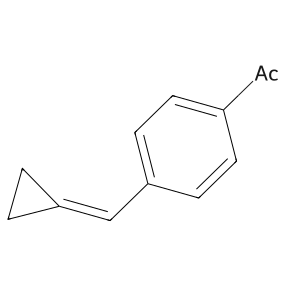 CC(=O)c1ccc(C=C2CC2)cc1